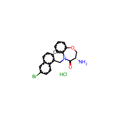 COc1ccc2cc(Br)ccc2c1CN1C(=O)[C@@H](N)COc2ccccc21.Cl